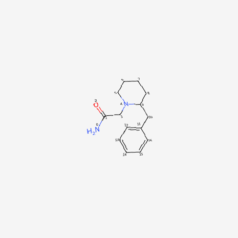 NC(=O)CN1CCCCC1Cc1ccccc1